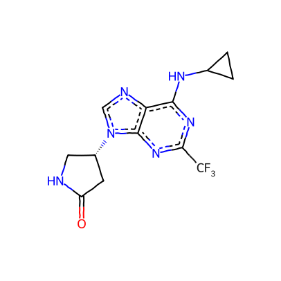 O=C1C[C@@H](n2cnc3c(NC4CC4)nc(C(F)(F)F)nc32)CN1